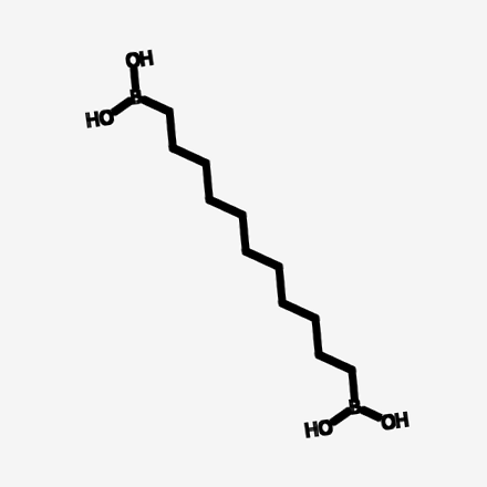 OB(O)CCCCCCCCCCCB(O)O